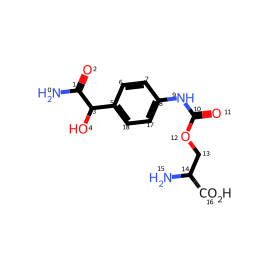 NC(=O)C(O)c1ccc(NC(=O)OCC(N)C(=O)O)cc1